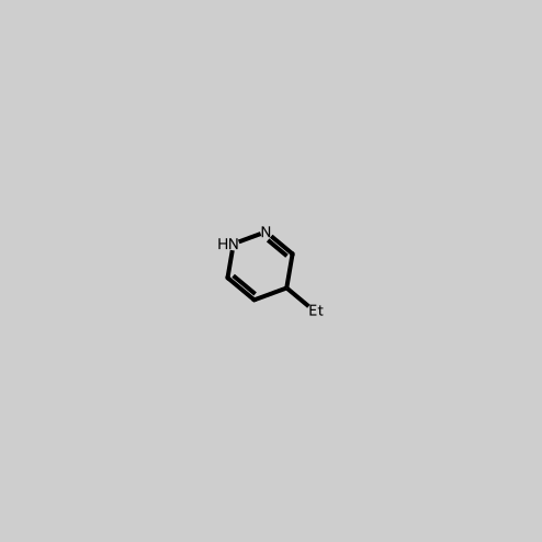 CCC1C=CNN=C1